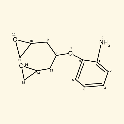 Nc1ccccc1OC(CC1CO1)CC1CO1